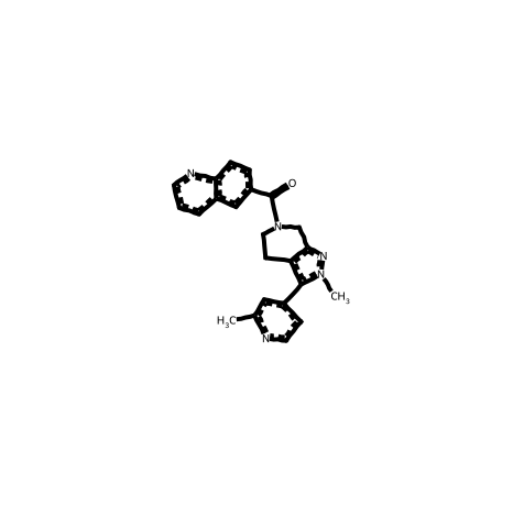 Cc1cc(-c2c3c(nn2C)CN(C(=O)c2ccc4ncccc4c2)CC3)ccn1